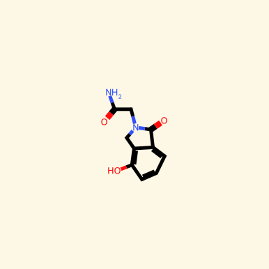 NC(=O)CN1Cc2c(O)cccc2C1=O